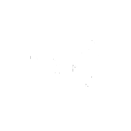 CCOC(=O)CNc1cc(F)ccc1C#N